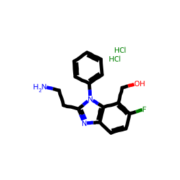 Cl.Cl.NCCc1nc2ccc(F)c(CO)c2n1-c1ccccc1